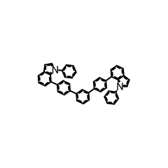 c1ccc(-n2ccc3cccc(-c4ccc(-c5cccc(-c6ccc(-c7cccc8ccn(-c9ccccc9)c78)cc6)c5)cc4)c32)cc1